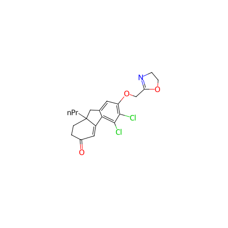 CCCC12CCC(=O)C=C1c1c(cc(OCC3=NCCO3)c(Cl)c1Cl)C2